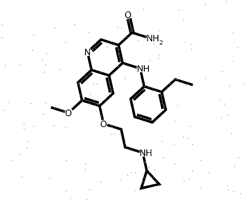 CCc1ccccc1Nc1c(C(N)=O)cnc2cc(OC)c(OCCNC3CC3)cc12